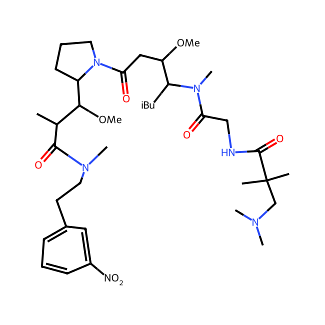 CCC(C)C(C(CC(=O)N1CCCC1C(OC)C(C)C(=O)N(C)CCc1cccc([N+](=O)[O-])c1)OC)N(C)C(=O)CNC(=O)C(C)(C)CN(C)C